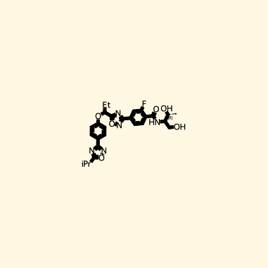 CCC(Oc1ccc(-c2noc(C(C)C)n2)cc1)c1nc(-c2ccc(C(=O)NC(CO)[C@@H](C)O)c(F)c2)no1